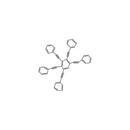 C(#Cc1[c]c(C#Cc2ccccc2)c(C#Cc2ccccc2)c(C#Cc2ccccc2)c1C#Cc1ccccc1)c1ccccc1